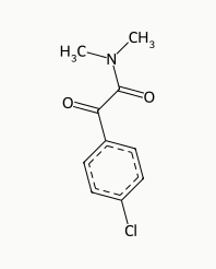 CN(C)C(=O)C(=O)c1ccc(Cl)cc1